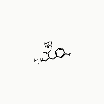 CN(C)C(CN)Cc1cccc(F)c1.Cl.Cl